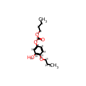 CCCCOC(=O)Oc1ccc(OCCC)c(O)c1